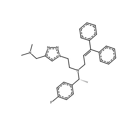 C[C@H](c1ccc(F)cc1)N(CC=C(c1ccccc1)c1ccccc1)CCn1cc(CN(C)C)nn1